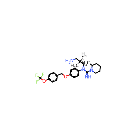 CC1CCCCN1C(=N)N(CC(C)(C)CN)c1ccc(OCc2ccc(OC(F)(F)F)cc2)cc1